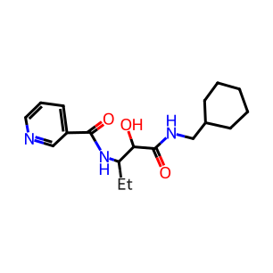 CCC(NC(=O)c1cccnc1)C(O)C(=O)NCC1CCCCC1